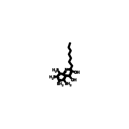 Bc1c(B)c(B)c2c(O)c(O)c(CCCCCCC)nc2c1B